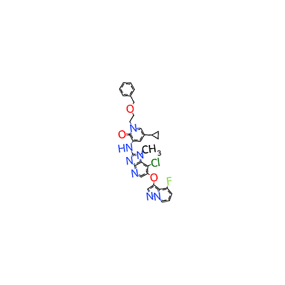 Cn1c(Nc2cc(C3CC3)cn(CCOCc3ccccc3)c2=O)nc2ncc(Oc3cnn4cccc(F)c34)c(Cl)c21